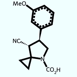 COc1cccc([C@H]2CN(C(=O)O)C3(CC3)[C@@H]2C#N)c1